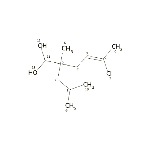 CC(Cl)=CCC(C)(CC(C)C)C(O)O